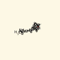 C=C(C)C(=O)OCCOCCOC(=O)C1CCN(C(=O)OC(c2ccccc2[N+](=O)[O-])c2ccccc2[N+](=O)[O-])CC1